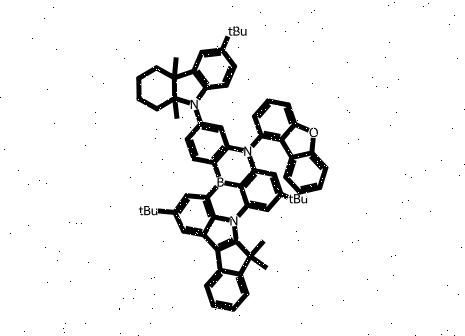 CC(C)(C)c1cc2c3c(c1)-n1c4c(c5cc(C(C)(C)C)cc(c51)B3c1ccc(N3c5ccc(C(C)(C)C)cc5C5(C)CCCCC35C)cc1N2c1cccc2oc3ccccc3c12)-c1ccccc1C4(C)C